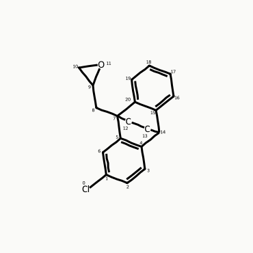 Clc1ccc2c(c1)C1(CC3CO3)CCC2c2ccccc21